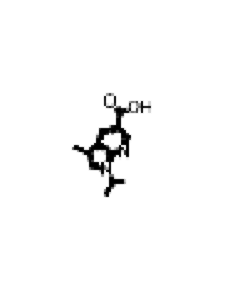 Cc1cn(C(C)C)c2ncc(C(=O)O)cc12